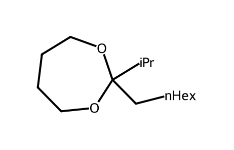 CCCCCCCC1(C(C)C)OCCCCO1